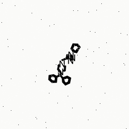 c1ccc(C(c2ccccc2)N2CCN(Cc3cn(-c4ccccc4)nn3)CC2)cc1